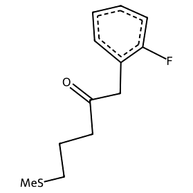 CSCCCC(=O)Cc1ccccc1F